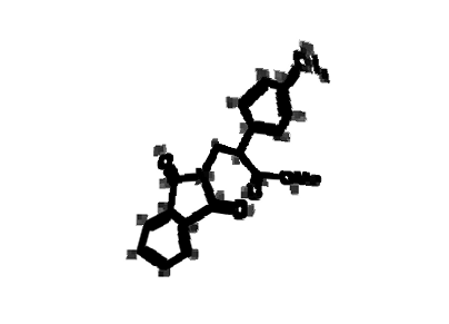 COC(=O)C(CN1C(=O)c2ccccc2C1=O)c1ccc(C)cc1